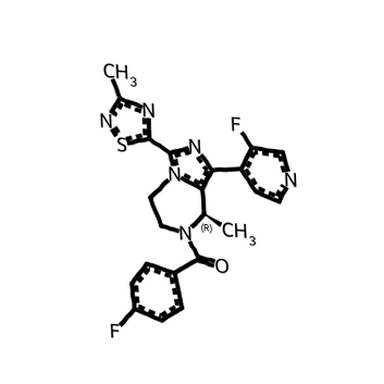 Cc1nsc(-c2nc(-c3ccncc3F)c3n2CCN(C(=O)c2ccc(F)cc2)[C@@H]3C)n1